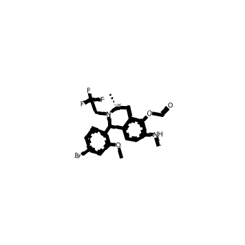 CNc1ccc2c(c1OC=O)C[C@@H](C)N(CC(F)(F)F)C2c1ccc(Br)cc1OC